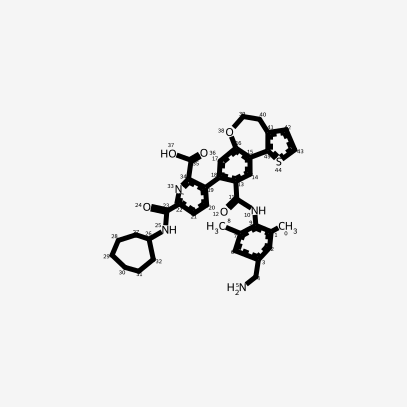 Cc1cc(CN)cc(C)c1NC(=O)c1cc2c(cc1-c1ccc(C(=O)NC3CCCCCC3)nc1C(=O)O)OCCc1ccsc1-2